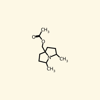 CC(=O)OCC12CCC(C)N1C(C)CC2